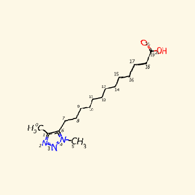 Cc1nnn(C)c1CCCCCCCCCCCCC(=O)O